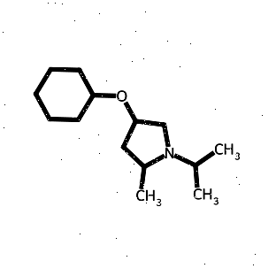 CC(C)N1CC(OC2CCCCC2)CC1C